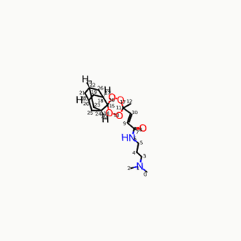 CN(C)CCCNC(=O)C=CC1(C)OOC2(OO1)[C@H]1C[C@@H]3C[C@@H](C[C@H]2C3)C1